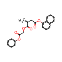 C=C(CC(=O)Oc1cccc2ccccc12)C(=O)OCC(=O)Oc1ccccc1